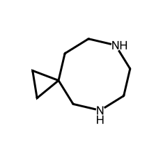 C1CNCC2(CCN1)CC2